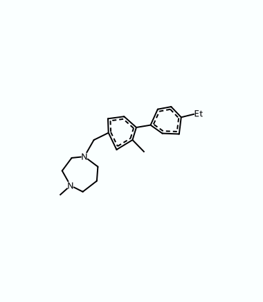 CCc1ccc(-c2ccc(CN3CCCN(C)CC3)cc2C)cc1